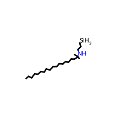 CCCCCCCCCCCCCCCCCC(C)(C)NCCC[SiH3]